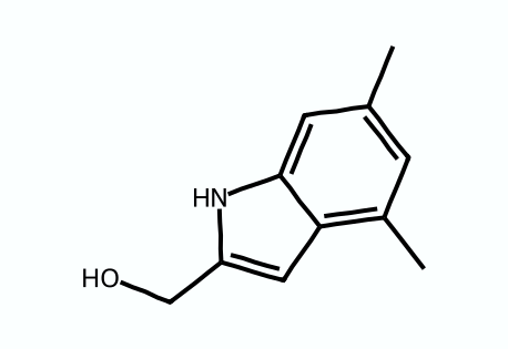 Cc1cc(C)c2cc(CO)[nH]c2c1